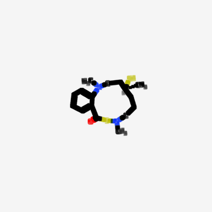 CN1CCC[C@](C)(S)CCN(C)c2ccccc2C(=O)S1